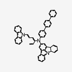 C=C/C(=C\C=C\n1c2ccccc2c2ccccc21)N(c1ccc(-c2ccc(-c3ccccc3)cc2)cc1)c1cc2c3c(c1)c1ccccc1n3C1C=CC=CC21